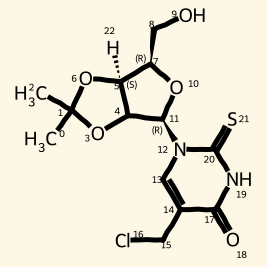 CC1(C)OC2[C@@H](O1)[C@@H](CO)O[C@H]2n1cc(CCl)c(=O)[nH]c1=S